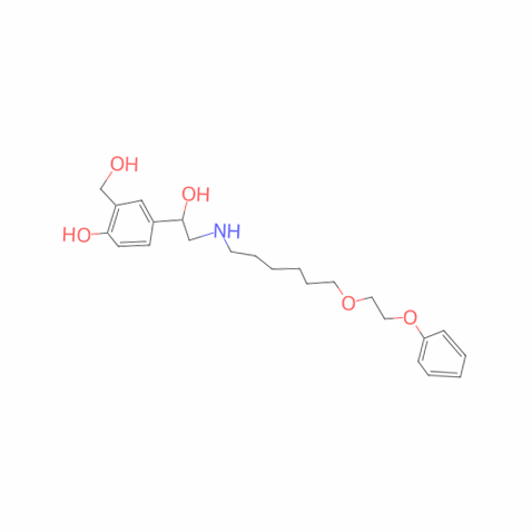 OCc1cc(C(O)CNCCCCCCOCCOc2ccccc2)ccc1O